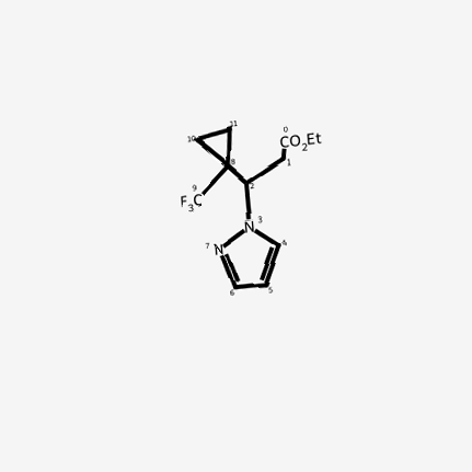 CCOC(=O)CC(n1cccn1)C1(C(F)(F)F)CC1